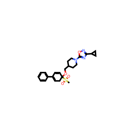 CS(=O)(=O)C1(OCC2CCN(c3nc(C4CC4)no3)CC2)C=CC(c2ccccc2)=CC1